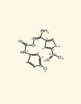 N/C(=N/OC(=O)Nc1ccc(Cl)cc1)c1csc([N+](=O)[O-])c1